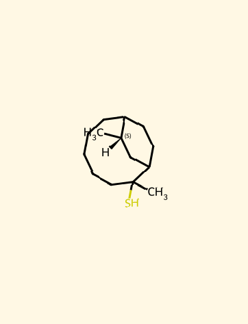 C[C@H]1CC2CCC1CCCCCC2(C)S